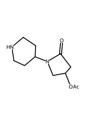 CC(=O)OC1CC(=O)N(C2CCNCC2)C1